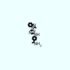 Cc1nc2ccccc2n1-c1cncc(Nc2ccc(C(C)N)cc2)n1